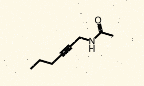 CCCC#CCNC(C)=O